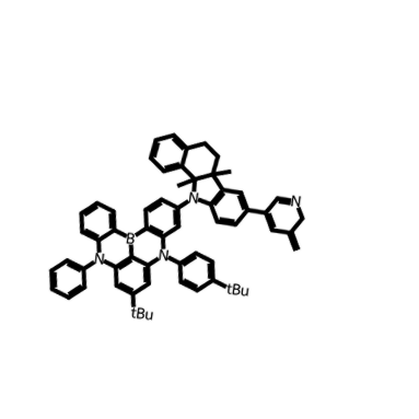 C=C1C=C(c2ccc3c(c2)C2(C)CCc4ccccc4C2(C)N3c2ccc3c(c2)N(c2ccc(C(C)(C)C)cc2)c2cc(C(C)(C)C)cc4c2B3c2ccccc2N4c2ccccc2)C=NC1